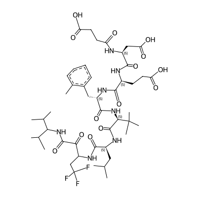 Cc1ccccc1C[C@H](NC(=O)[C@H](CCC(=O)O)NC(=O)[C@H](CC(=O)O)NC(=O)CCC(=O)O)C(=O)N[C@H](C(=O)N[C@@H](CC(C)C)C(=O)NC(CC(F)(F)F)C(=O)C(=O)NC(C(C)C)C(C)C)C(C)(C)C